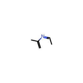 C=C(C)/N=C\C